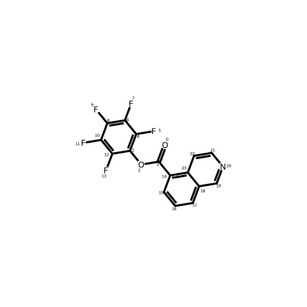 O=C(Oc1c(F)c(F)c(F)c(F)c1F)c1cccc2cnccc12